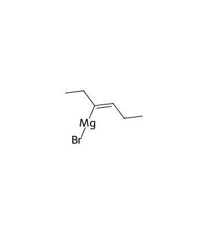 CCC=[C](CC)[Mg][Br]